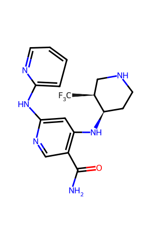 NC(=O)c1cnc(Nc2ccccn2)cc1N[C@@H]1CCNC[C@@H]1C(F)(F)F